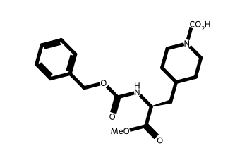 COC(=O)[C@H](CC1CCN(C(=O)O)CC1)NC(=O)OCc1ccccc1